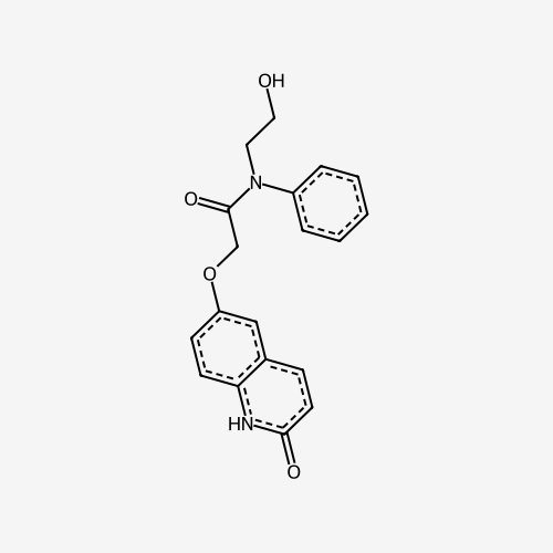 O=C(COc1ccc2[nH]c(=O)ccc2c1)N(CCO)c1ccccc1